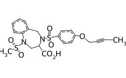 CC#CCOc1ccc(S(=O)(=O)N2Cc3ccccc3N(S(C)(=O)=O)CC2C(=O)O)cc1